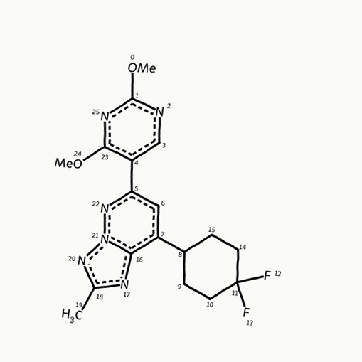 COc1ncc(-c2cc(C3CCC(F)(F)CC3)c3nc(C)nn3n2)c(OC)n1